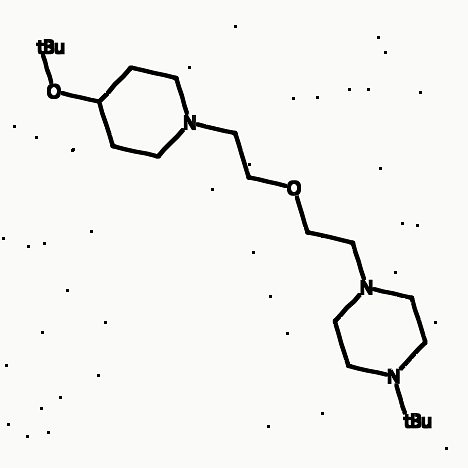 CC(C)(C)OC1CCN(CCOCCN2CCN(C(C)(C)C)CC2)CC1